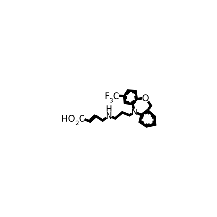 O=C(O)/C=C/CNCCCN1c2ccccc2COc2ccc(C(F)(F)F)cc21